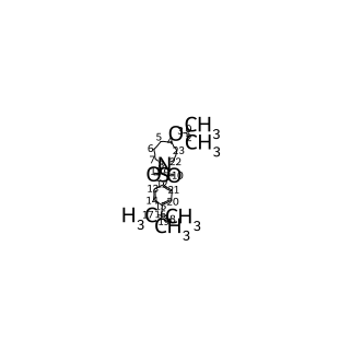 CC(C)OC1CCCN(S(=O)(=O)c2ccc(C(C)(C)C)cc2)CC1